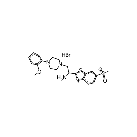 Br.COc1ccccc1N1CCN(CC(N)c2nc3ccc(S(C)(=O)=O)cc3s2)CC1